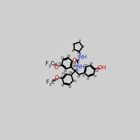 O=C(NC1CCCC1)NC(Cc1ccc(O)cc1)(c1cccc(OC(F)(F)F)c1)C1C=C(OC(F)(F)F)C=CC1